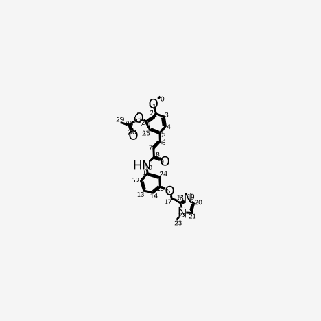 COc1ccc(C=CC(=O)Nc2cccc(OCc3nccn3C)c2)cc1OC(C)=O